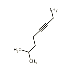 [CH2]CC#CCCC(C)C